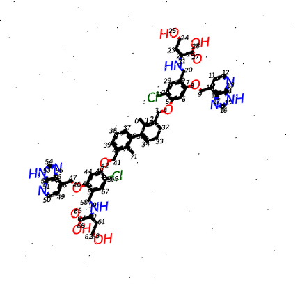 CC1=C(COc2cc(OCc3ccnc4[nH]cnc34)c(CNC(CCO)C(=O)O)cc2Cl)CCC=C1c1cccc(COc2cc(OCc3ccnc4[nH]cnc34)c(CNC(CCO)C(=O)O)cc2Cl)c1C